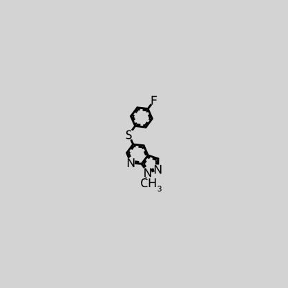 Cn1ncc2cc(Sc3ccc(F)cc3)cnc21